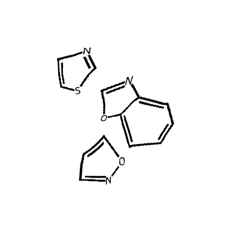 c1ccc2ocnc2c1.c1cnoc1.c1cscn1